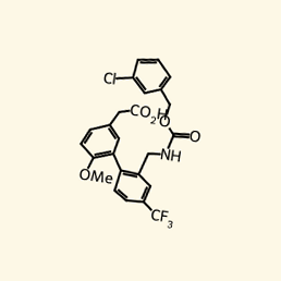 COc1ccc(CC(=O)O)cc1-c1ccc(C(F)(F)F)cc1CNC(=O)OCc1cccc(Cl)c1